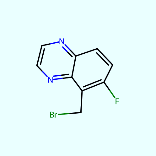 Fc1ccc2nccnc2c1CBr